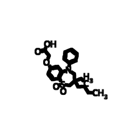 CCCCC1(CC)CN(c2ccccc2)c2cc(OCC(=O)O)ccc2S(=O)(=O)C1